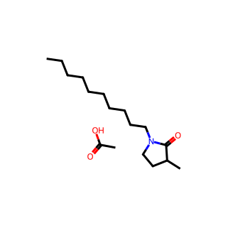 CC(=O)O.CCCCCCCCCCN1CCC(C)C1=O